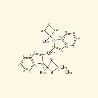 CC[Si]1(C2[C]([Zr+2][C]3=Cc4ccccc4C3[Si]3(CC)CCC3)=Cc3ccccc32)CCC1.[Cl-].[Cl-]